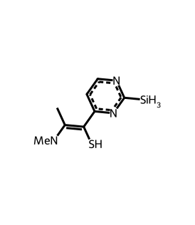 CN/C(C)=C(\S)c1ccnc([SiH3])n1